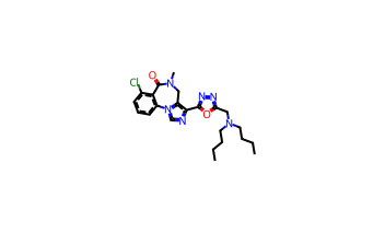 CCCCN(CCCC)Cc1nnc(-c2ncn3c2CN(C)C(=O)c2c(Cl)cccc2-3)o1